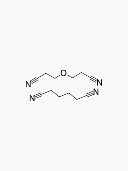 N#CCCCCC#N.N#CCCOCCC#N